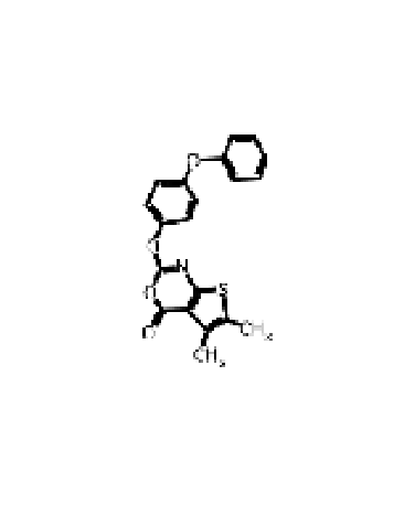 Cc1sc2nc(Oc3ccc(Oc4ccccc4)cc3)oc(=O)c2c1C